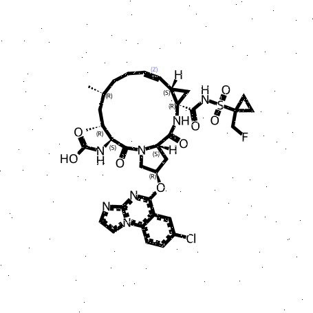 C[C@@H]1CC/C=C\[C@@H]2C[C@@]2(C(=O)NS(=O)(=O)C2(CF)CC2)NC(=O)[C@@H]2C[C@@H](Oc3nc4nccn4c4ccc(Cl)cc34)CN2C(=O)[C@@H](NC(=O)O)[C@H](C)C1